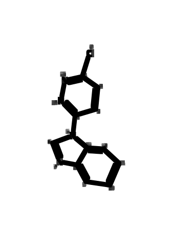 Clc1ccc(-n2[c]nc3ccccc32)nn1